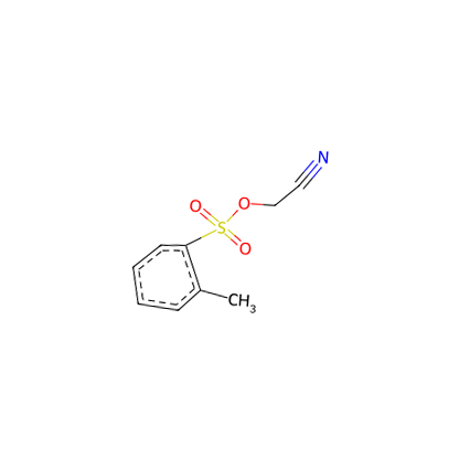 Cc1ccccc1S(=O)(=O)OCC#N